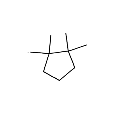 [CH2]C1(C)CCCC1(C)C